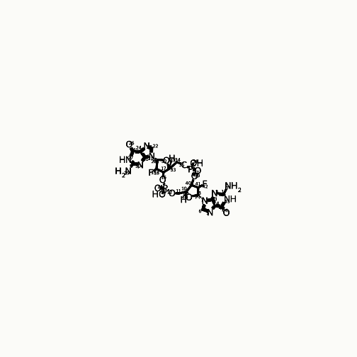 Nc1nc2c(ncn2[C@@H]2O[C@@H]3COP(=O)(O)OC4C(F)[C@H](n5cnc6c(=O)[nH]c(N)nc65)O[C@@H]4CCP(=O)(O)OC3C2F)c(=O)[nH]1